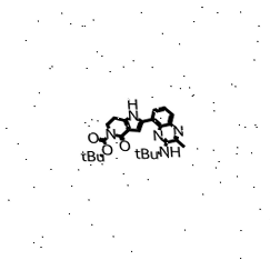 Cc1nc2cccc(-c3cc4c([nH]3)CCN(C(=O)OC(C)(C)C)C4=O)c2nc1NC(C)(C)C